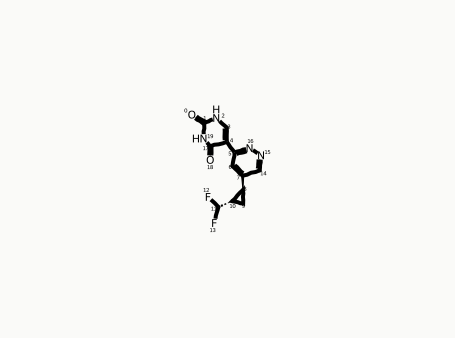 O=c1[nH]cc(-c2cc([C@H]3C[C@@H]3C(F)F)cnn2)c(=O)[nH]1